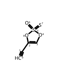 C#CC1=COS(=O)(=S)O1